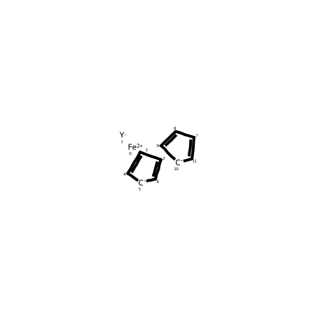 [Fe+2].[Y].c1cc[cH-]c1.c1cc[cH-]c1